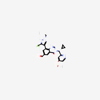 CCn1cc(-c2cc(C=O)cc3c(=O)n([C@H](c4cc(OC)ccn4)C4CC4)cnc23)c(C(F)(F)F)n1